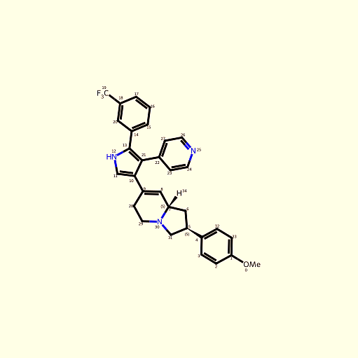 COc1ccc([C@@H]2C[C@H]3C=C(c4c[nH]c(-c5cccc(C(F)(F)F)c5)c4-c4ccncc4)CCN3C2)cc1